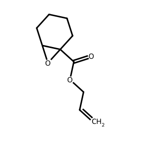 C=CCOC(=O)C12CCCCC1O2